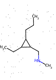 CCCC1C(CC)C1CNC